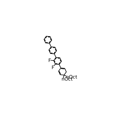 CCCCCCCCC1(CCCCCCCC)C=CC(c2ccc(-c3ccc(-c4ccccc4)cc3)c(F)c2F)=CC1